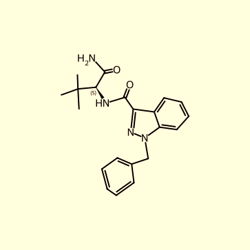 CC(C)(C)[C@H](NC(=O)c1nn(Cc2ccccc2)c2ccccc12)C(N)=O